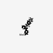 COCC1(C)CCC(c2cn(S(=O)(=O)c3ccc(S(=O)(=O)N(C)C)cc3)c3cccnc23)CC1